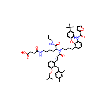 CCCNC(=O)C(CCCCNC(=O)CCC(=O)O)N(CCCCc1cccc(NC(=O)c2ccco2)c1Oc1ccc(C(C)(C)C)cc1)C(=O)/C=C/c1cccc(OCC(C)C)c1Cc1ccc(C)cc1C